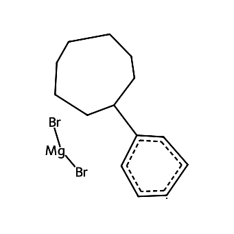 [Br][Mg][Br].[c]1ccc(C2CCCCCCC2)cc1